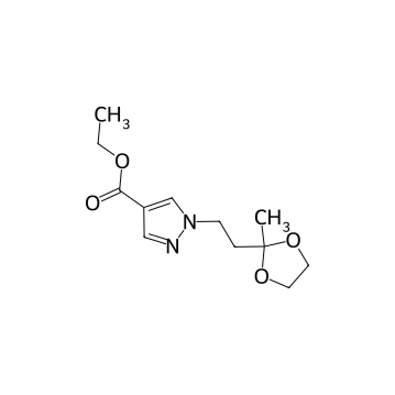 CCOC(=O)c1cnn(CCC2(C)OCCO2)c1